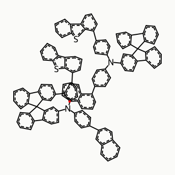 c1ccc2c(c1)-c1ccccc1C21c2ccccc2-c2ccc(N(c3ccc(-c4cccc5cc(-c6ccc7c(c6)C6(c8ccccc8-7)c7ccccc7-c7ccc(N(c8ccc(-c9ccc%10ccccc%10c9)cc8)c8ccc(-c9cccc%10c9sc9ccccc9%10)cc8)cc76)ccc45)cc3)c3ccc(-c4cccc5c4sc4ccccc45)cc3)cc21